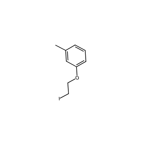 Cc1cccc(OCCI)c1